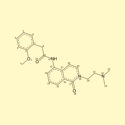 COc1ccccc1CC(=O)Nc1cccc2c(=O)n(CCN(C)C)ccc12